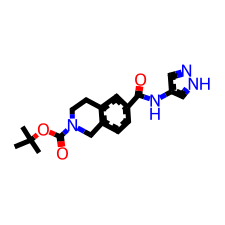 CC(C)(C)OC(=O)N1CCc2cc(C(=O)Nc3cn[nH]c3)ccc2C1